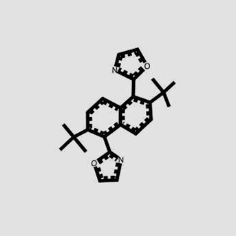 CC(C)(C)c1ccc2c(-c3ncco3)c(C(C)(C)C)ccc2c1-c1ncco1